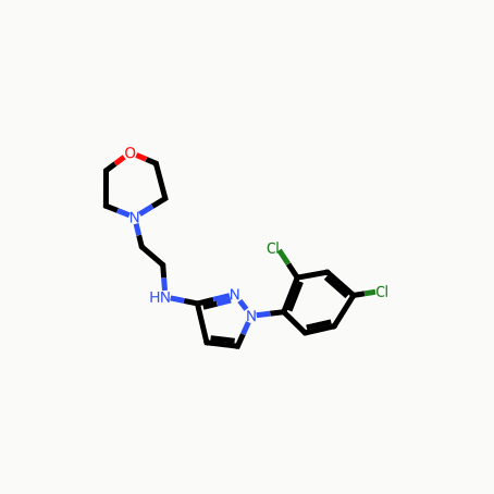 Clc1ccc(-n2ccc(NCCN3CCOCC3)n2)c(Cl)c1